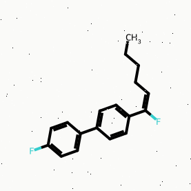 CCCC/C=C(/F)c1ccc(-c2ccc(F)cc2)cc1